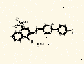 Nc1c(N=Nc2ccc(-c3ccc(Cl)cc3)nc2)cc(S(=O)(=O)O)c2ccccc12.[NaH]